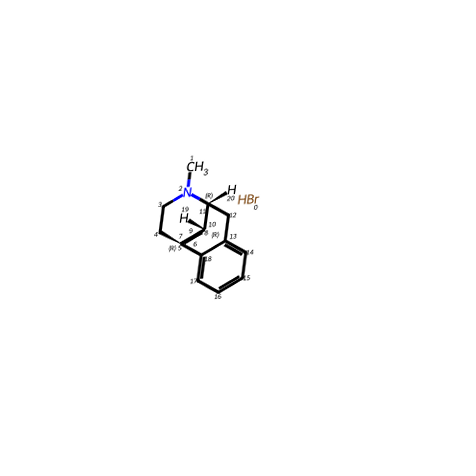 Br.CN1CC[C@]23CCCC[C@H]2[C@H]1Cc1ccccc13